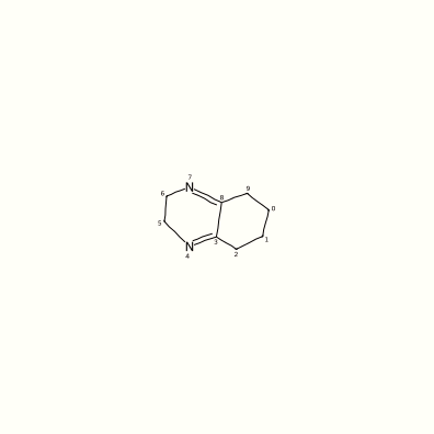 C1CCC2=NCCN=C2C1